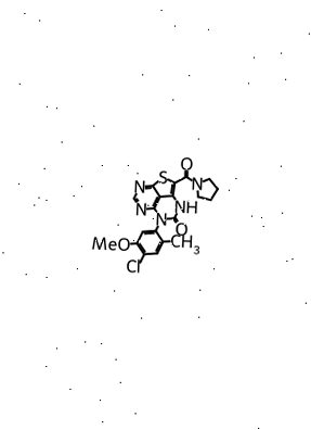 COc1cc(N2C(=O)Nc3c(C(=O)N4CCCC4)sc4ncnc2c34)c(C)cc1Cl